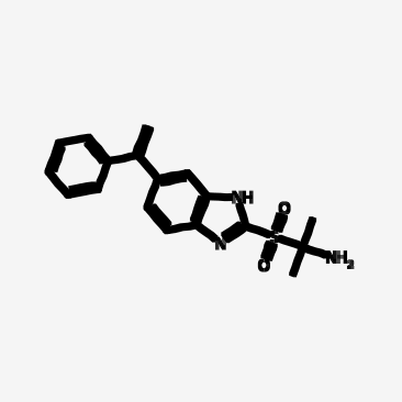 C=C(c1ccccc1)c1ccc2nc(S(=O)(=O)C(C)(C)N)[nH]c2c1